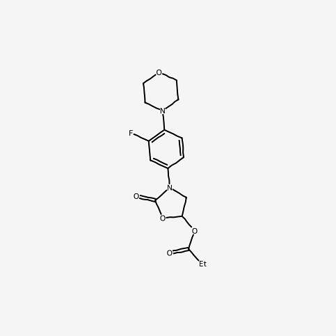 CCC(=O)OC1CN(c2ccc(N3CCOCC3)c(F)c2)C(=O)O1